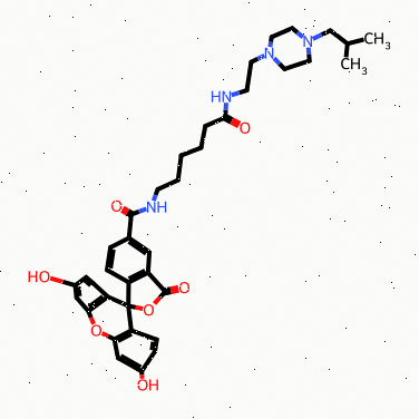 CC(C)CN1CCN(CCNC(=O)CCCCCNC(=O)c2ccc3c(c2)C(=O)OC32c3ccc(O)cc3Oc3cc(O)ccc32)CC1